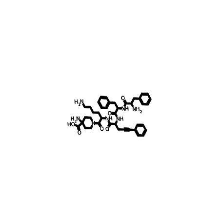 NCCCCC(NC(=O)C(CC#Cc1ccccc1)NC(=O)C(Cc1ccccc1)NC(=O)C(N)Cc1ccccc1)C(=O)N1CCC(N)(C(=O)O)CC1